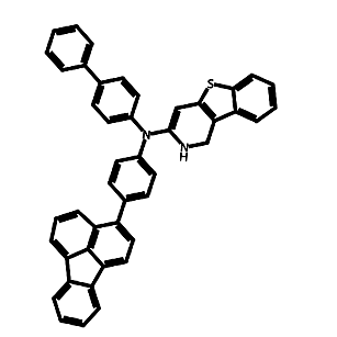 C1=C(N(c2ccc(-c3ccccc3)cc2)c2ccc(-c3ccc4c5c(cccc35)-c3ccccc3-4)cc2)NCc2c1sc1ccccc21